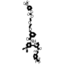 CCN(CC)c1ccc(NC(=O)c2cccc(COCCOCCOC(=O)Oc3ccc([N+](=O)[O-])cc3)c2)c(-c2cc(C(=O)NCc3cccc(C(F)(F)F)c3)ccn2)c1